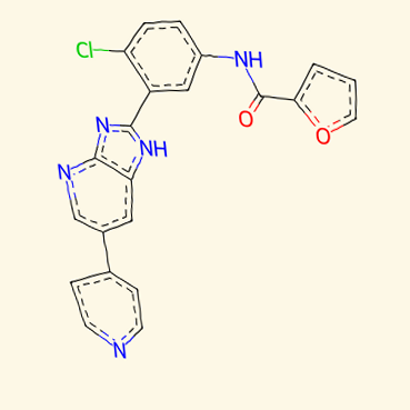 O=C(Nc1ccc(Cl)c(-c2nc3ncc(-c4ccncc4)cc3[nH]2)c1)c1ccco1